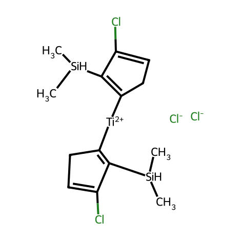 C[SiH](C)C1=[C]([Ti+2][C]2=C([SiH](C)C)C(Cl)=CC2)CC=C1Cl.[Cl-].[Cl-]